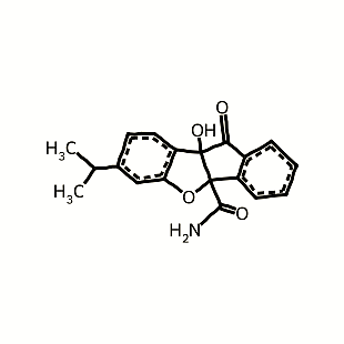 CC(C)c1ccc2c(c1)OC1(C(N)=O)c3ccccc3C(=O)C21O